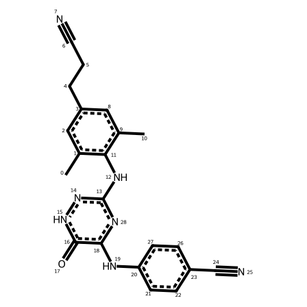 Cc1cc(CCC#N)cc(C)c1Nc1n[nH]c(=O)c(Nc2ccc(C#N)cc2)n1